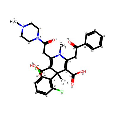 CN1CCN(C(=O)CC2=C(C(=O)O)C(C)(c3c(Cl)cccc3Cl)C(C(=O)O)=C(CC(=O)c3ccccc3)N2C)CC1